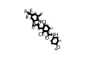 COC1CCC(NC(=O)c2ccc(Cl)c(Cc3nc4c(C)cc(C(F)(F)F)cc4n3C)c2Cl)CC1